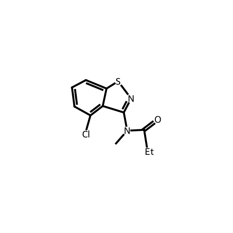 CCC(=O)N(C)c1nsc2cccc(Cl)c12